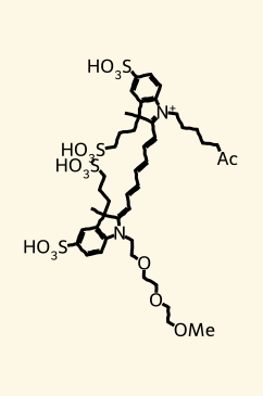 COCCOCCOCCN1/C(=C/C=C/C=C/C=C/C2=[N+](CCCCCC(C)=O)c3ccc(S(=O)(=O)O)cc3C2(C)CCCS(=O)(=O)O)C(C)(CCCS(=O)(=O)O)c2cc(S(=O)(=O)O)ccc21